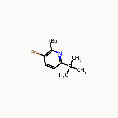 CC(C)(C)c1nc([Si](C)(C)C)ccc1Br